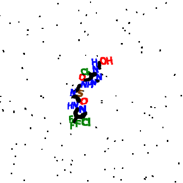 O=C(Nc1cc(C(F)(F)F)c(Cl)cn1)c1cnc(CNC(=O)c2ncnc(NCCO)c2Cl)s1